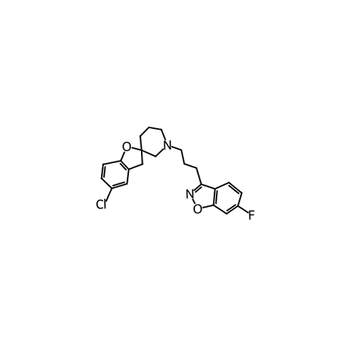 Fc1ccc2c(CCCN3CCCC4(Cc5cc(Cl)ccc5O4)C3)noc2c1